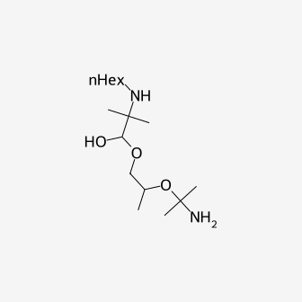 CCCCCCNC(C)(C)C(O)OCC(C)OC(C)(C)N